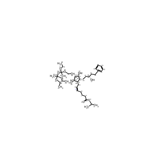 CC(C)OC(=O)CCC/C=C\C[C@@H]1[C@@H](CC[C@@H](O)CCc2ccccc2)[C@H](O)C[C@@H]1O.CCOC(C)(OCC)OC(C)(OCC)OCC